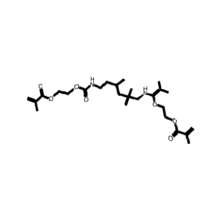 C=C(C)C(=O)OCCOC(=O)NCCC(C)CC(C)(C)CNC(OCCOC(=O)C(=C)C)=C(C)C